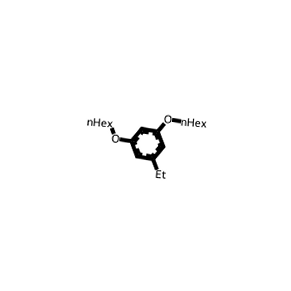 [CH2]Cc1cc(OCCCCCC)cc(OCCCCCC)c1